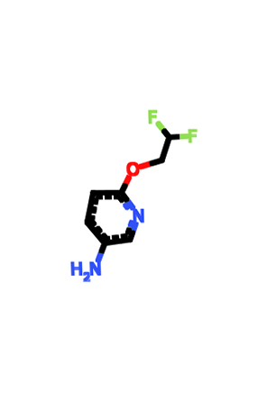 Nc1ccc(OCC(F)F)nc1